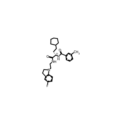 Cc1cccc(C(=O)N[C@@H](CCC2CCCCC2)C(=O)NCCN2CCc3cc(F)ccc32)c1